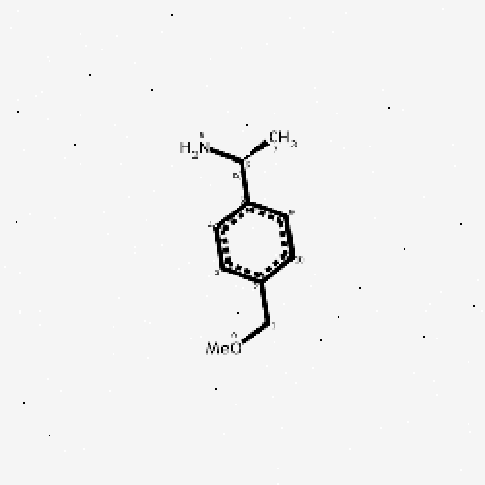 COCc1ccc([C@H](C)N)cc1